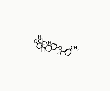 CN1C=CCC(C(=O)Oc2ccc3c(c2)CC[C@@H]2[C@@H]3CC[C@]3(C)C(=O)CC[C@@H]23)=C1